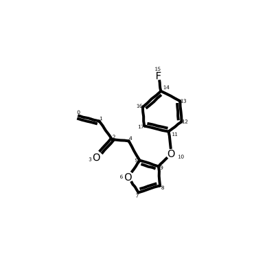 C=CC(=O)Cc1occc1Oc1ccc(F)cc1